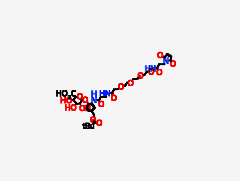 CC(C)(C)C(=O)OCc1ccc(O[C@@H]2O[C@H](C(=O)O)[C@@H](O)[C@H](O)[C@H]2O)c(NC(=O)CCNC(=O)CCOCCOCCOCCONC(=O)CCN2C(=O)C=CC2=O)c1